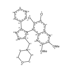 COc1nc2cc(Cl)c(Cl)c(-n3c(CN4CCOCC4)nnc3-c3cccnc3)c2nc1OC